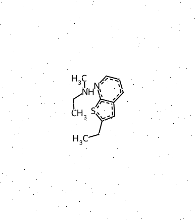 CCNC.CCc1cc2cccnc2s1